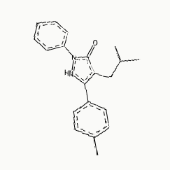 Cc1ccc(-c2[nH]n(-c3ccccc3)c(=O)c2CC(C)C)cc1